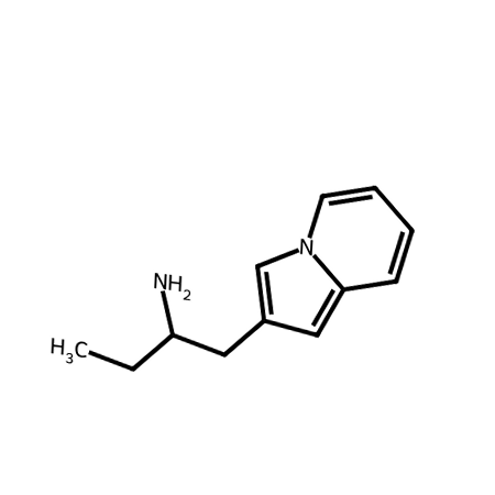 CCC(N)Cc1cc2ccccn2c1